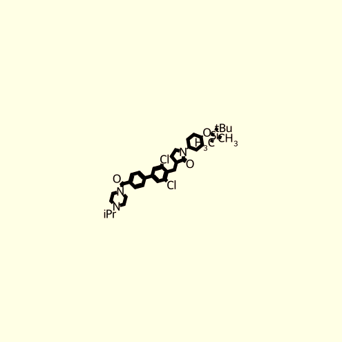 CC(C)N1CCN(C(=O)c2ccc(-c3cc(Cl)c(CC4CCN([C@H]5CC[C@@H](O[Si](C)(C)C(C)(C)C)CC5)C4=O)c(Cl)c3)cc2)CC1